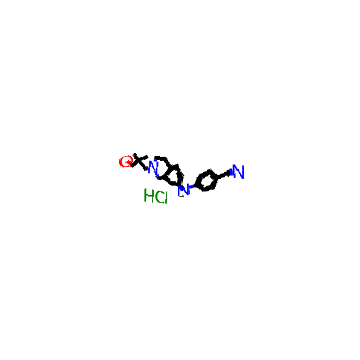 CN(c1ccc(C#N)cc1)c1ccc2c(c1)CN(CC1(C)COC1)CC2.Cl